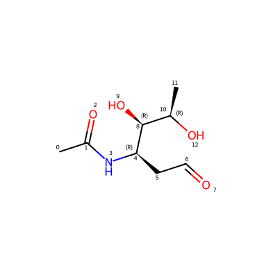 CC(=O)N[C@H](CC=O)[C@@H](O)[C@@H](C)O